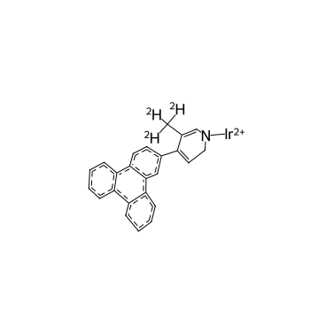 [2H]C([2H])([2H])C1=C[N]([Ir+2])CC=C1c1ccc2c3ccccc3c3ccccc3c2c1